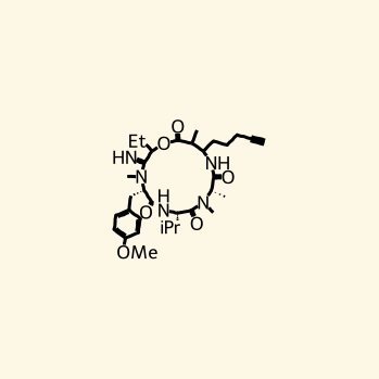 C#CCCCC1NC(=O)[C@H](C)N(C)C(=O)[C@H](C(C)C)NC(=O)[C@H](Cc2ccc(OC)cc2)N(C)C(=N)C(CC)OC(=O)C1C